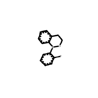 Fc1ccccc1B1OCCc2ccccc21